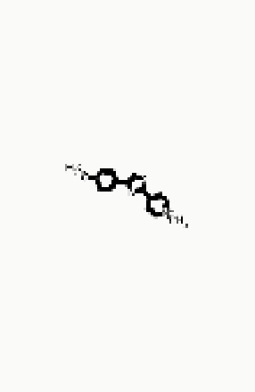 COc1ccc(-c2csc(-c3cc[n+](C)cc3)n2)cc1